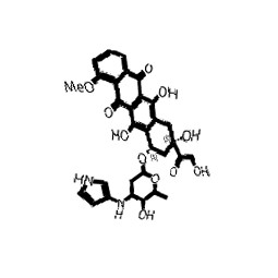 COc1cccc2c1C(=O)c1c(O)c3c(c(O)c1C2=O)C[C@@](O)(C(=O)CO)C[C@@H]3OC1CC(Nc2cc[nH]c2)C(O)C(C)O1